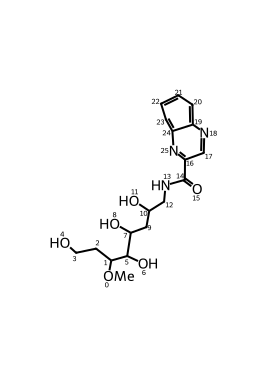 COC(CCO)C(O)C(O)CC(O)CNC(=O)c1cnc2ccccc2n1